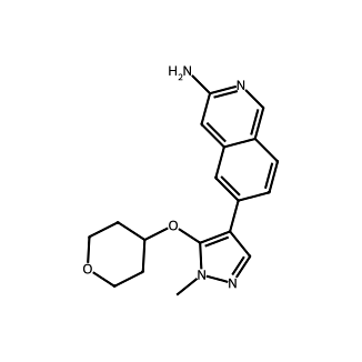 Cn1ncc(-c2ccc3cnc(N)cc3c2)c1OC1CCOCC1